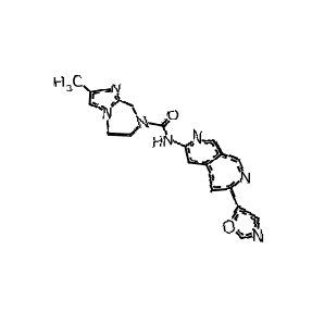 Cc1cn2c(n1)CN(C(=O)Nc1cc3cc(-c4cnco4)ncc3cn1)CC2